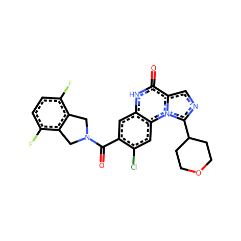 O=C(c1cc2[nH]c(=O)c3cnc(C4CCOCC4)n3c2cc1Cl)N1Cc2c(F)ccc(F)c2C1